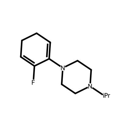 CC(C)N1CCN(C2=CCCC=C2F)CC1